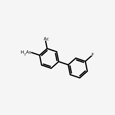 CC(=O)c1cc(-c2cccc(F)c2)ccc1[AsH2]